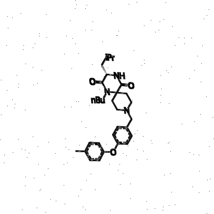 CCCCN1C(=O)[C@H](CC(C)C)NC(=O)C12CCN(Cc1ccc(Oc3ccc(C)cc3)cc1)CC2